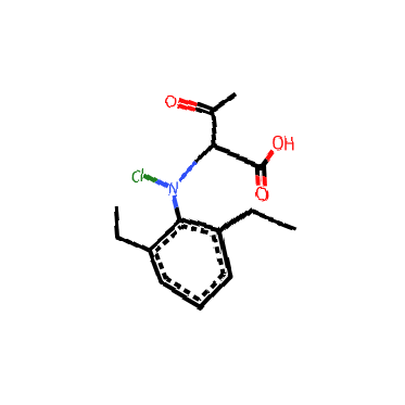 CCc1cccc(CC)c1N(Cl)C(C(C)=O)C(=O)O